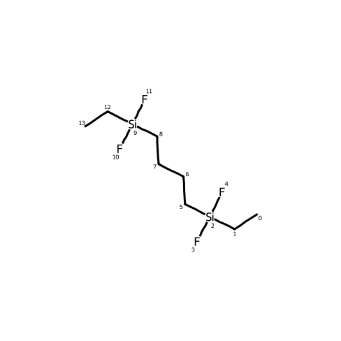 CC[Si](F)(F)CCCC[Si](F)(F)CC